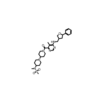 Cc1c(NCC2COC(c3ccccc3)C2)ncnc1C(=O)N1CCC(N2CCC(N(C)S(C)(=O)=O)CC2)CC1